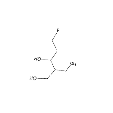 OCC(CO)C(O)CCF